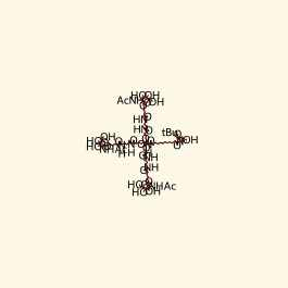 CC(=O)NC1C(OCCCCC(=O)NCCCNC(=O)CCOCC(COCCC(=O)NCCCNC(=O)CCCCOC2OC(CO)C(O)C(O)C2NC(C)=O)(COCCC(=O)NCCCNC(=O)CCCCOC2OC(CO)C(O)C(O)C2NC(C)=O)NC(=O)CCCCCCCCCCC(=O)N2C[C@H](O)C[C@H]2COC(C)(C)C)OC(CO)C(O)C1O